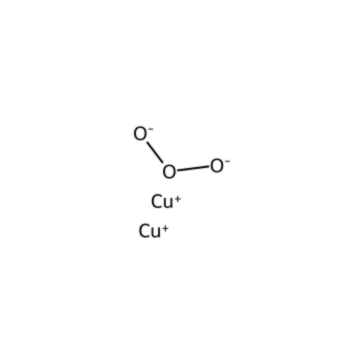 [Cu+].[Cu+].[O-]O[O-]